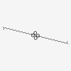 CC(C)CCCCCCCCCCCCCCCCCOC(=O)C(=O)OCCCCCCCCCCCCCCCCCC(C)C